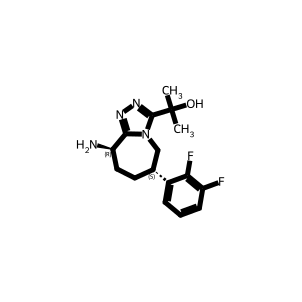 CC(C)(O)c1nnc2n1C[C@H](c1cccc(F)c1F)CC[C@H]2N